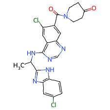 CC(Nc1ncnc2cc(C(=O)N3CCC(=O)CC3)c(Cl)cc12)c1nc2cc(Cl)ccc2[nH]1